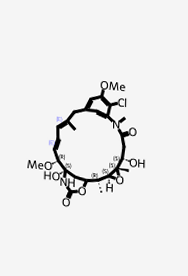 COc1cc2cc(c1Cl)N(C)C(=O)C[C@H](O)[C@]1(C)O[C@H]1[C@H](C)C1C[C@@](O)(NC(=O)O1)[C@H](OC)/C=C/C=C(\C)C2